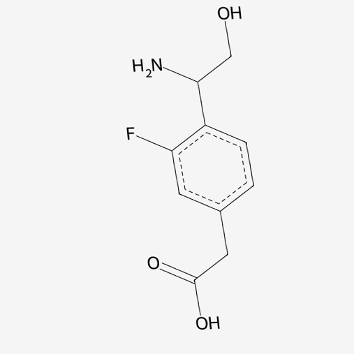 NC(CO)c1ccc(CC(=O)O)cc1F